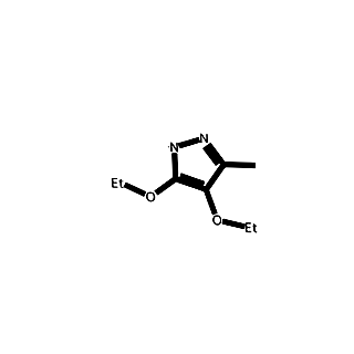 CCOC1=C(OCC)C(C)=N[N]1